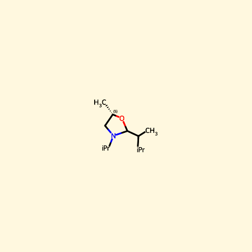 CC(C)C(C)C1O[C@@H](C)CN1C(C)C